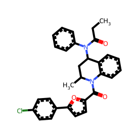 CCC(=O)N(c1ccccc1)C1CC(C)N(C(=O)c2ccc(-c3ccc(Cl)cc3)o2)c2ccccc21